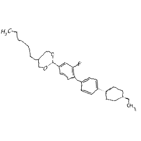 CCCCCC1COC(c2ccc(-c3ccc([C@H]4CC[C@H](CC)CC4)cc3)c(F)c2)OC1